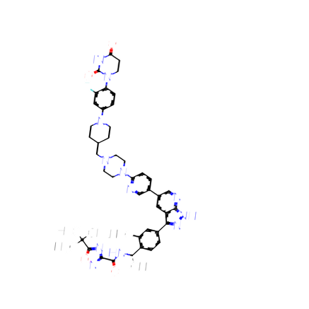 Cc1cc(-c2n[nH]c3ncc(-c4ccc(N5CCN(CC6CCN(c7ccc(N8CCC(=O)NC8=O)c(F)c7)CC6)CC5)nc4)cc23)ccc1[C@@H](C)NC(=O)c1noc(C(C)(C)C)n1